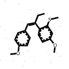 CCC(=Cc1ccc(OC)cc1)c1ccc(OC)cc1SC